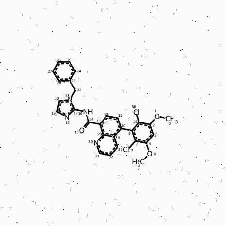 COc1cc(OC)c(Cl)c(-c2ccc(C(=O)Nc3nccn3Cc3ccccc3)c3ncccc23)c1Cl